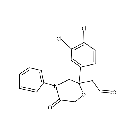 O=CCC1(c2ccc(Cl)c(Cl)c2)CN(c2ccccc2)C(=O)CO1